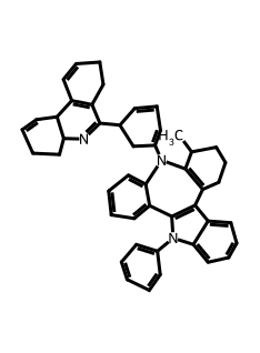 CC1CCCC2=C1N(C1=CC=CC(C3=NC4CCC=CC4C4=C3CCC=C4)C1)c1ccccc1-c1c2c2ccccc2n1-c1ccccc1